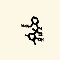 CCC(C)(Pc1ccccc1CNC)c1cc(C)cc(C)c1O